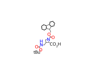 CC(C)(C)OC(=O)NCC1CN(C(=O)OCC2c3ccccc3-c3ccccc32)C1C(=O)O